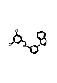 Clc1cc(Cl)cc(CNc2nccc(-n3cnc4ccccc43)n2)c1